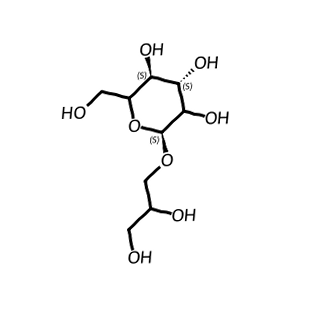 OCC(O)CO[C@H]1OC(CO)[C@@H](O)[C@H](O)C1O